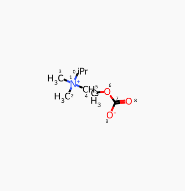 CC(C)[N+](C)(C)C.COC(=O)[O-]